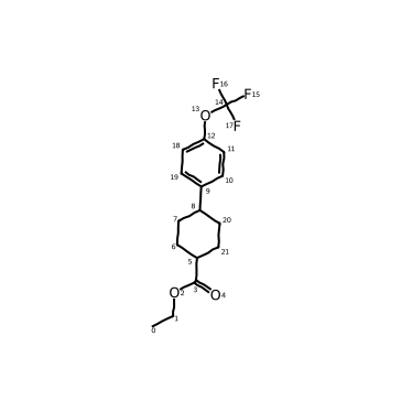 CCOC(=O)C1CCC(c2ccc(OC(F)(F)F)cc2)CC1